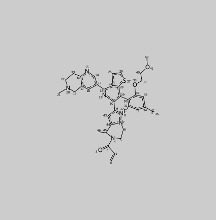 C=CC(=O)N1CCn2nc(-c3nc(-c4cnc5c(c4)CN(C)CC5)c4ccsc4c3-c3c(F)cc(F)cc3OCCOC)cc2C1C